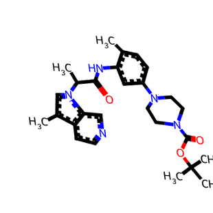 Cc1ccc(N2CCN(C(=O)OC(C)(C)C)CC2)cc1NC(=O)C(C)n1cc(C)c2ccncc21